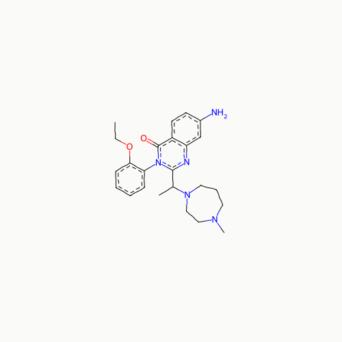 CCOc1ccccc1-n1c(C(C)N2CCCN(C)CC2)nc2cc(N)ccc2c1=O